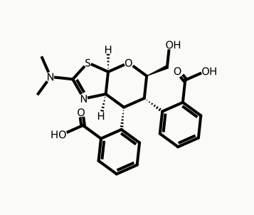 CN(C)C1=N[C@@H]2[C@@H](c3ccccc3C(=O)O)[C@@H](c3ccccc3C(=O)O)[C@H](CO)O[C@@H]2S1